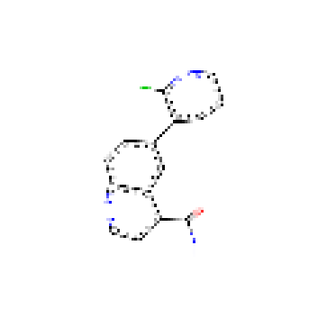 NC(=O)c1ccnc2ccc(-c3cccnc3Cl)cc12